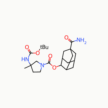 CC1(NC(=O)OC(C)(C)C)CCN(C(=O)OC2C3CC4CC2CC(C(N)=O)(C4)C3)C1